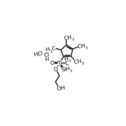 CC1=C(C)C(C)[C]([Ti]([CH3])(=[O])(=[SiH2])[O]CCO)=C1C.Cl.Cl